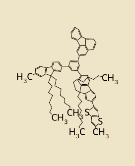 CCCCCCCCC1(CCCCCCCC)c2cc(C)ccc2-c2ccc(-c3cc(-c4ccc5c(c4)C(CCCCCCCC)(CCCCCCCC)c4cc(-c6cc7sc(C)cc7s6)ccc4-5)cc(-c4cc5c6c(cccc6c4)-c4ccccc4-5)c3)cc21